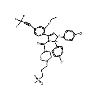 CCOc1cc(C#CC(F)(F)F)ccc1C1=N[C@@H](c2ccc(Cl)cc2)[C@@H](c2ccc(Cl)cc2)N1C(=O)N1CCN(CCCS(C)(=O)=O)CC1